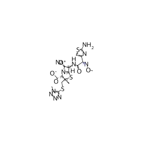 CO/N=C(\C(=O)N[C@@H]1C(=O)N2[C@@H]1S[C@](C)(CSc1nnnn1C)[C@@H]2C(=O)[O-])c1csc(N)n1.[Na+]